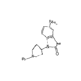 CC(C)N1CCC(n2c(=O)[nH]c3cc(N)ccc32)CC1